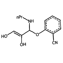 CCCNC(Oc1ccccc1C#N)C(O)=CO